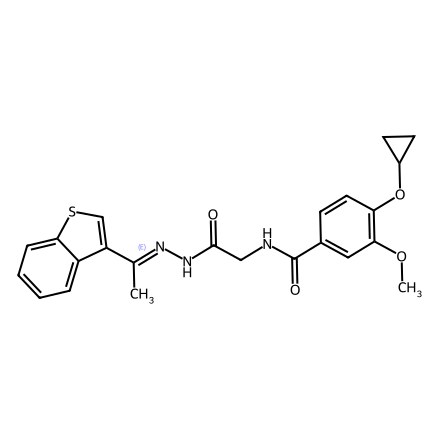 COc1cc(C(=O)NCC(=O)N/N=C(\C)c2csc3ccccc23)ccc1OC1CC1